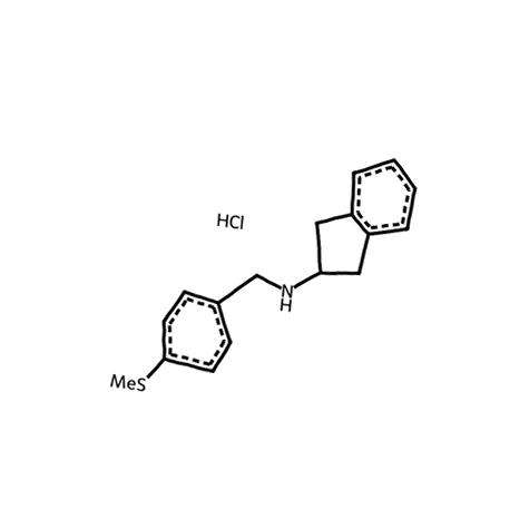 CSc1ccc(CNC2Cc3ccccc3C2)cc1.Cl